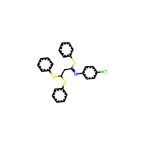 Clc1ccc(N=C(CC(Sc2ccccc2)Sc2ccccc2)Sc2ccccc2)cc1